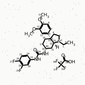 CCN1CC[C@]2(c3ccc(OC)c(OC)c3)CC[C@@H](NC(=O)Nc3ccc(F)c(F)c3)C[C@H]12.O=C(O)C(F)(F)F